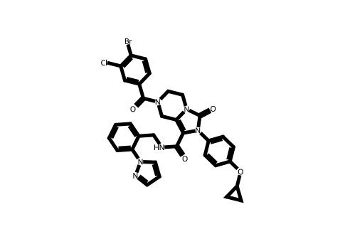 O=C(NCc1ccccc1-n1cccn1)c1c2n(c(=O)n1-c1ccc(OC3CC3)cc1)CCN(C(=O)c1ccc(Br)c(Cl)c1)C2